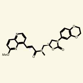 COc1ccc2nccc(/C=C/C(=O)N(C)C[C@H]3CN(c4ccc5c(c4)OCCO5)C(=O)O3)c2n1